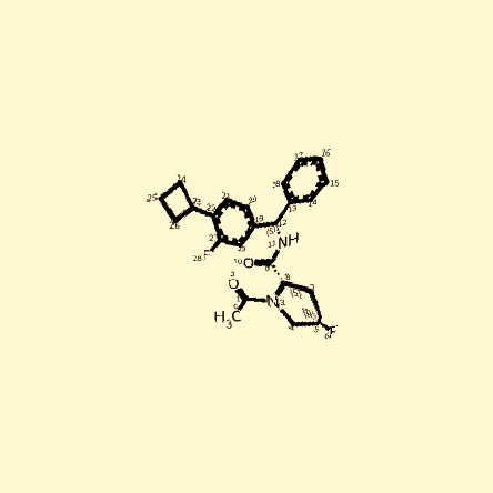 CC(=O)N1C[C@H](F)C[C@H]1C(=O)N[C@@H](c1ccccc1)c1ccc(C2CCC2)c(F)c1